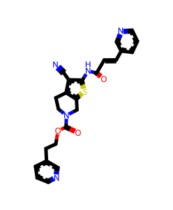 N#Cc1c(NC(=O)C=Cc2cccnc2)sc2c1CCN(C(=O)OCCc1cccnc1)C2